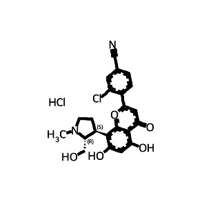 CN1CC[C@@H](c2c(O)cc(O)c3c(=O)cc(-c4ccc(C#N)cc4Cl)oc23)[C@@H]1CO.Cl